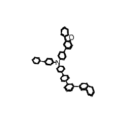 c1ccc(-c2ccc(N(c3ccc(-c4ccc(-c5cccc(-c6ccc7ccccc7c6)c5)cc4)cc3)c3ccc(-c4ccc5oc6ccccc6c5c4)cc3)cc2)cc1